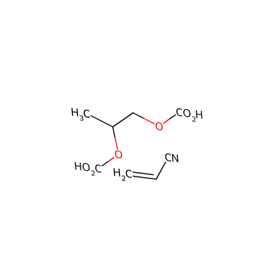 C=CC#N.CC(COC(=O)O)OC(=O)O